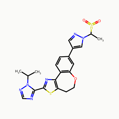 CC(C)n1ncnc1-c1nc2c(s1)CCOc1cc(-c3cnn(C(C)[SH](=O)=O)c3)ccc1-2